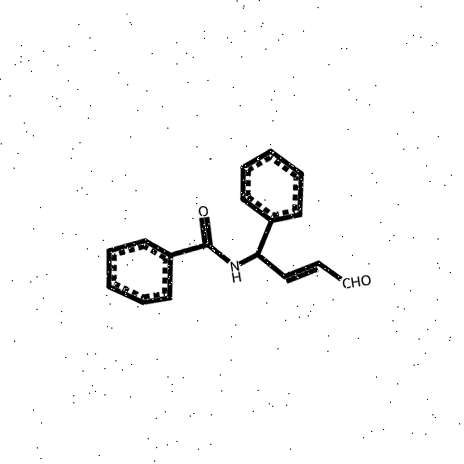 O=CC=CC(NC(=O)c1ccccc1)c1ccccc1